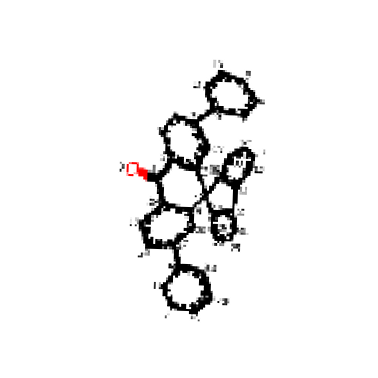 O=C1c2ccc(-c3ccccc3)cc2C2(c3cc(-c4ccccc4)ccc31)c1ccccc1-c1ccccc12